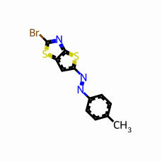 Cc1ccc(N=Nc2cc3sc(Br)nc3s2)cc1